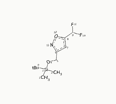 CC(C)(C)[Si](C)(C)OCc1cc(C(F)F)on1